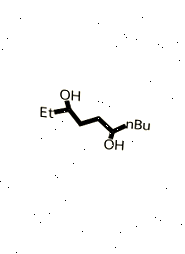 CCCCC(O)CCC(O)CC